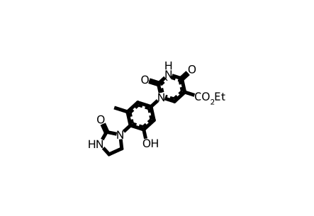 CCOC(=O)c1cn(-c2cc(C)c(N3CCNC3=O)c(O)c2)c(=O)[nH]c1=O